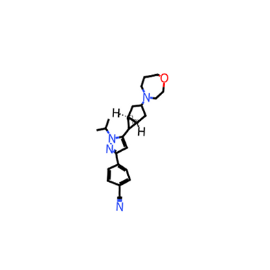 CC(C)n1nc(-c2ccc(C#N)cc2)cc1C1[C@H]2CC(N3CCCOCC3)C[C@@H]12